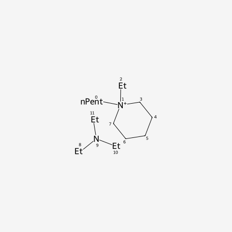 CCCCC[N+]1(CC)CCCCC1.CCN(CC)CC